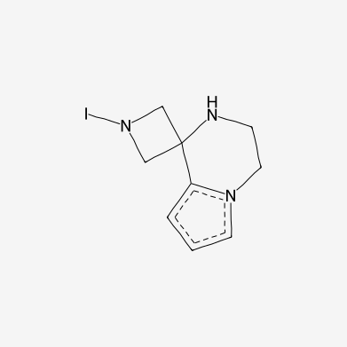 IN1CC2(C1)NCCn1cccc12